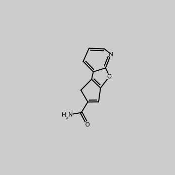 NC(=O)C1=Cc2oc3ncccc3c2C1